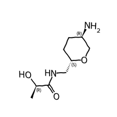 C[C@@H](O)C(=O)NC[C@@H]1CC[C@@H](N)CO1